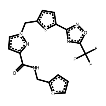 O=C(NCc1ccco1)c1ccn(Cc2ccc(-c3noc(C(F)(F)F)n3)s2)n1